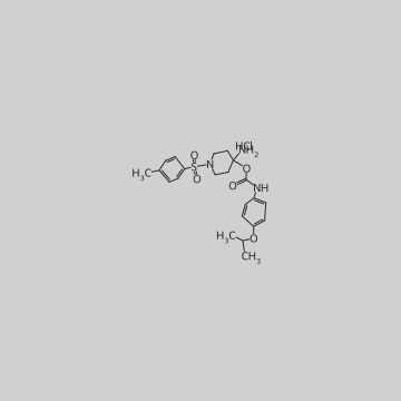 Cc1ccc(S(=O)(=O)N2CCC(N)(OC(=O)Nc3ccc(OC(C)C)cc3)CC2)cc1.Cl